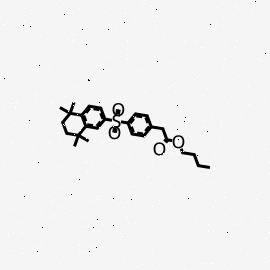 CCCCOC(=O)Cc1ccc(S(=O)(=O)c2ccc3c(c2)C(C)(C)CCC3(C)C)cc1